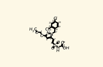 COCOc1cc(/C=C/S(=O)(=O)NC(=O)O)n(Cc2ccc(Cl)cc2Cl)n1